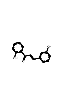 O=C(/C=C/c1cccc(O)c1)c1ccccc1O